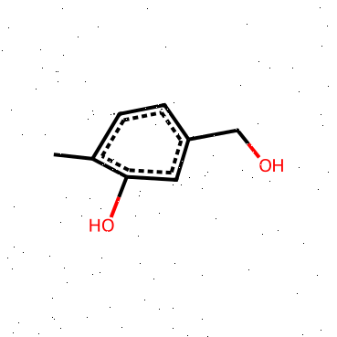 Cc1[c]cc(CO)cc1O